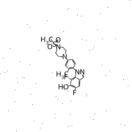 Cc1cc(N2CCN(S(C)(=O)=O)CC2)ccc1-n1ncc2cc(F)c(O)c(F)c21